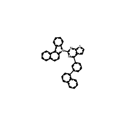 c1cc(-c2cccc3ccccc23)cc(-c2nc(-n3c4ccccc4c4c5ccccc5ccc43)nc3sccc23)c1